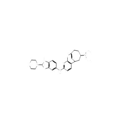 CN(C)C1CCC2=CC(C1)c1ccc(Nc3ccc4c(c3)SC(N3CCOCC3)N4)nc1O2